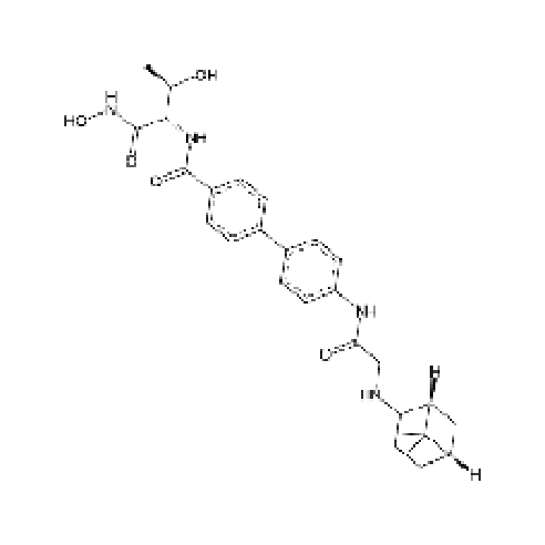 C[C@@H](O)[C@H](NC(=O)c1ccc(-c2ccc(NC(=O)CNC3CC[C@H]4C[C@@H]3C4(C)C)cc2)cc1)C(=O)NO